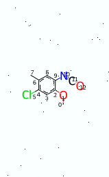 COc1cc(Cl)c(C)cc1N=C=O